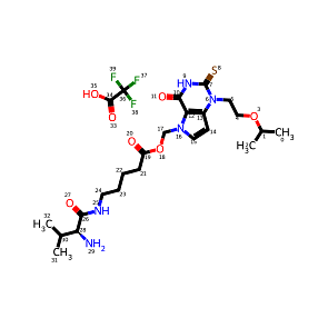 CC(C)OCCn1c(=S)[nH]c(=O)c2c1ccn2COC(=O)CCCCNC(=O)[C@@H](N)C(C)C.O=C(O)C(F)(F)F